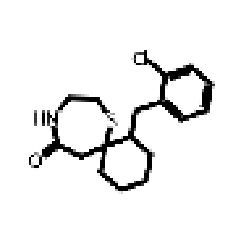 O=C1CC2(CCCCC2Cc2ccccc2Cl)SCCN1